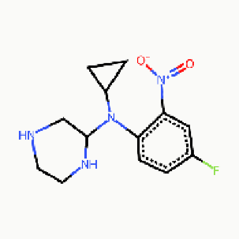 O=[N+]([O-])c1cc(F)ccc1N(C1CC1)C1CNCCN1